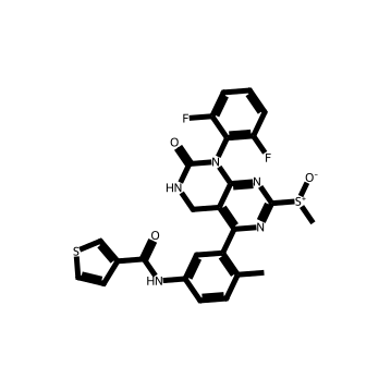 Cc1ccc(NC(=O)c2ccsc2)cc1-c1nc([S+](C)[O-])nc2c1CNC(=O)N2c1c(F)cccc1F